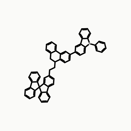 c1ccc(-n2c3ccccc3c3cc(-c4ccc5c(c4)-c4ccccc4CC5CCc4ccc5c(c4)C4(c6ccccc6-c6ccccc64)c4ccccc4-5)ccc32)cc1